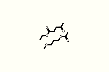 CCOC(=O)CCC(C)=O.COCCCOC(C)=O